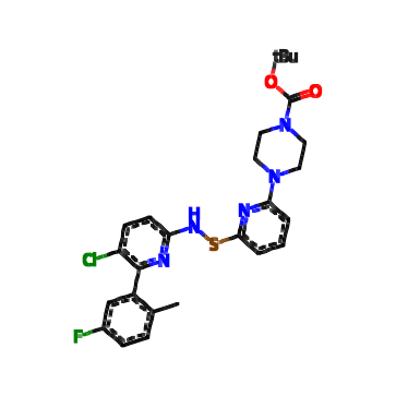 Cc1ccc(F)cc1-c1nc(NSc2cccc(N3CCN(C(=O)OC(C)(C)C)CC3)n2)ccc1Cl